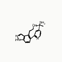 CC(C)(N)c1ccnc(-c2ccc3[nH]ncc3c2CCO)c1